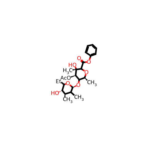 CCC1O[C@@H](OC2[C@H](C)OC(C(=O)Oc3ccccc3)[C@@](C)(O)[C@@H]2OC(C)=O)C(C)[C@@H](C)[C@@H]1O